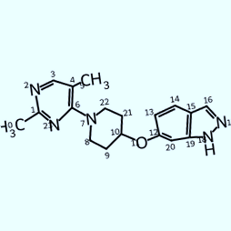 Cc1ncc(C)c(N2CCC(Oc3ccc4cn[nH]c4c3)CC2)n1